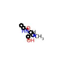 CN1CC[C@@]2(c3cccc(O)c3)C[C@@H](NC(=O)c3ccc4ccccc4c3)CC[C@@H]2C1